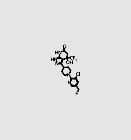 O=C1CC(O)(C(F)(F)F)c2c(C3CCN(c4ncc(CF)cc4Cl)CC3)n[nH]c2N1